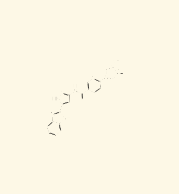 O=C(Nc1cc(-c2nc3ccccc3[nH]2)[nH]n1)c1ccc(N2C[C@H](O)[C@@H](O)C2)nc1